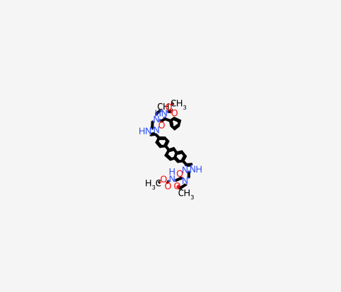 CCCN(Cc1nc(-c2ccc(-c3ccc4cc(-c5c[nH]c(CN(CC(C)=O)C(=O)CNC(=O)OC)n5)ccc4c3)cc2)c[nH]1)C(=O)C(NC(=O)OC)c1ccccc1